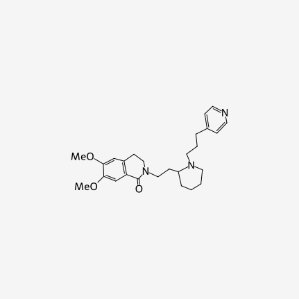 COc1cc2c(cc1OC)C(=O)N(CCC1CCCCN1CCCc1ccncc1)CC2